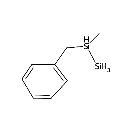 C[SiH]([SiH3])Cc1ccccc1